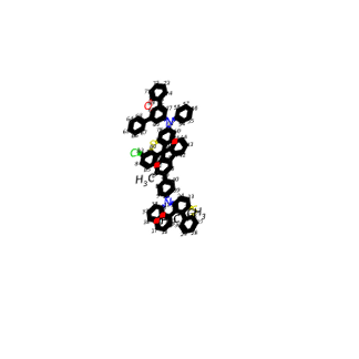 CC1CC2=C(C=C1c1ccc(N(C3=C(c4ccccc4)C4(C)C(C=C3)SC3C=CC=CC34C)c3ccccc3)cc1)c1ccccc1C21c2ccc(N(c3ccccc3)c3cc(-c4ccccc4)c4oc5ccccc5c4c3)cc2Sc2c(Cl)cccc21